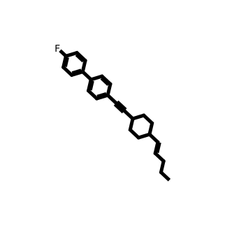 CCCC=CC1CCC(C#Cc2ccc(-c3ccc(F)cc3)cc2)CC1